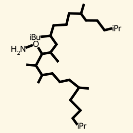 CCC(C)C(CCCC(C)CCCC(C)C)CC(C)C(ON)C(C)C(C)CCCC(C)CCCC(C)C